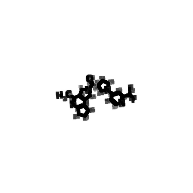 Cc1nc2c(c3c1CN(C(=O)[C@@H]1CCN(c4ccnc(C(F)F)c4)C1)C3)CCC2